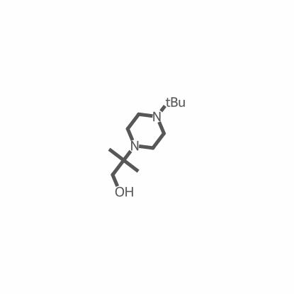 CC(C)(C)N1CCN(C(C)(C)CO)CC1